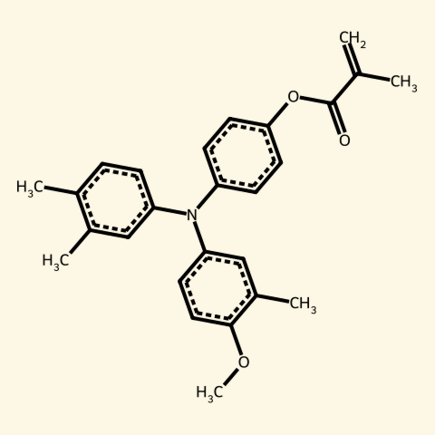 C=C(C)C(=O)Oc1ccc(N(c2ccc(C)c(C)c2)c2ccc(OC)c(C)c2)cc1